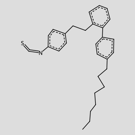 CCCCCCCCc1ccc(-c2ccccc2CCc2ccc(N=C=S)cc2)cc1